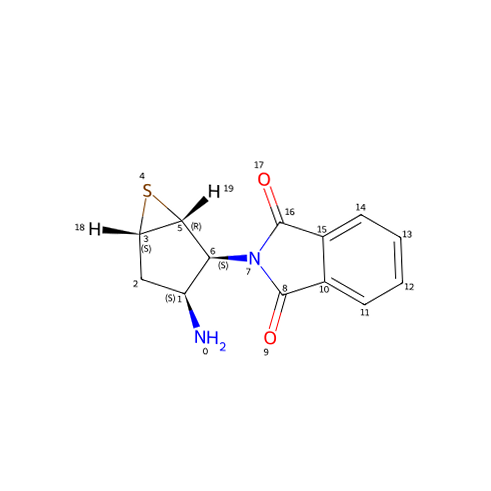 N[C@H]1C[C@@H]2S[C@@H]2[C@H]1N1C(=O)c2ccccc2C1=O